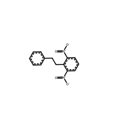 O=[N+]([O-])c1cccc([N+](=O)[O-])c1CCc1ccccc1